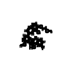 COCCOc1cnc2ccc(-c3cnc(OC)c(NS(=O)(=O)c4cc(F)ccc4F)c3)cn2c1=O